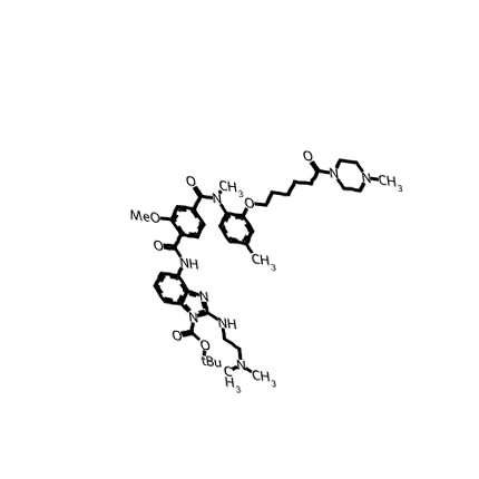 COc1cc(C(=O)N(C)c2ccc(C)cc2OCCCCCC(=O)N2CCN(C)CC2)ccc1C(=O)Nc1cccc2c1nc(NCCN(C)C)n2C(=O)OC(C)(C)C